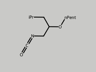 CCCCCOC(CN=C=O)CC(C)C